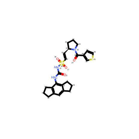 O=C(Nc1c2c(cc3c1CCC3)CCC2)NS(=O)(=O)/C=C/[C@H]1CCCN1C(=O)c1ccsc1